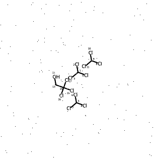 ClC(Cl)Cl.ClC(Cl)Cl.ClC(Cl)Cl.OCC(Cl)(Cl)Cl